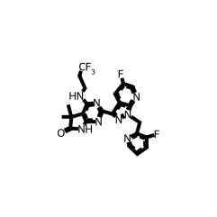 CC1(C)C(=O)Nc2nc(-c3nn(Cc4ncccc4F)c4ncc(F)cc34)nc(NCCC(F)(F)F)c21